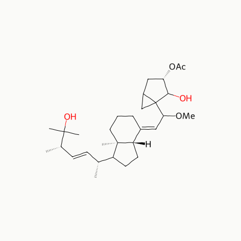 COC(/C=C1\CCC[C@]2(C)C([C@H](C)/C=C/[C@H](C)C(C)(C)O)CC[C@@H]12)C12CC1C[C@H](OC(C)=O)C2O